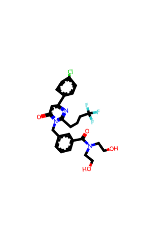 O=C(c1cccc(Cn2c(CCCC(F)(F)F)nc(-c3ccc(Cl)cc3)cc2=O)c1)N(CCO)CCO